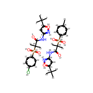 CC(C)(C)c1cc(NC(=O)C(C)(C)S(=O)(=O)c2ccc(Cl)cc2)no1.Cc1ccc(S(=O)(=O)C(C)(C)C(=O)Nc2cc(C(C)(C)C)on2)cc1